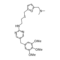 COc1cc(Cc2cnc(NCCSCc3ccc(CN(C)C)o3)nc2)cc(OC)c1OC